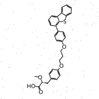 CO[C@@H](Cc1ccc(OCCCOc2ccc(-c3cccc4c3sc3ccccc34)cc2)cc1)C(=O)O